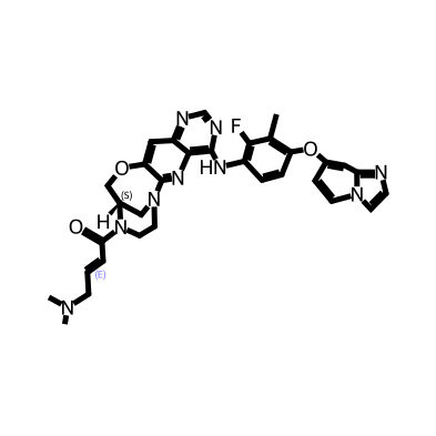 Cc1c(Oc2ccn3ccnc3c2)ccc(Nc2ncnc3cc4c(nc23)N2CCN(C(=O)/C=C/CN(C)C)[C@H](CO4)C2)c1F